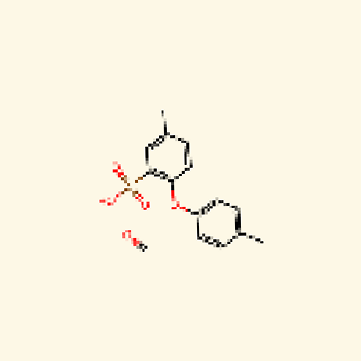 C=O.Cc1ccc(Oc2ccc(C)cc2S(=O)(=O)O)cc1